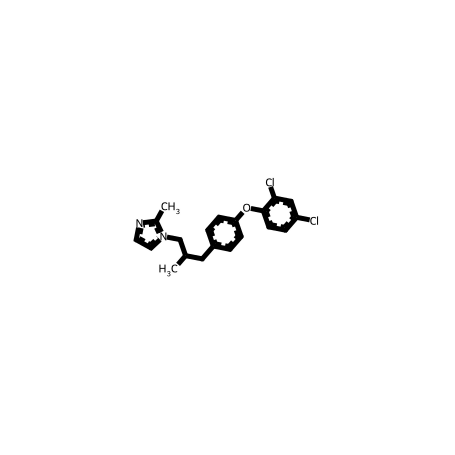 Cc1nccn1CC(C)Cc1ccc(Oc2ccc(Cl)cc2Cl)cc1